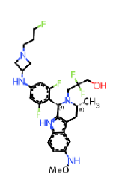 CONc1ccc2[nH]c3c(c2c1)C[C@@H](C)N(CC(F)(F)CO)[C@@H]3c1c(F)cc(NC2CN(CCCF)C2)cc1F